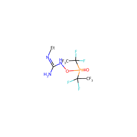 CCN=C(N)NOP(=O)(C(F)(F)C(F)(F)F)C(F)(F)C(F)(F)F